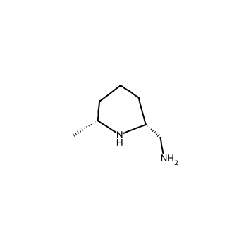 C[C@@H]1CCC[C@H](CN)N1